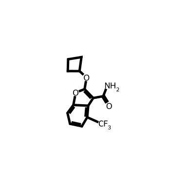 NC(=O)c1c(OC2CCC2)oc2cccc(C(F)(F)F)c12